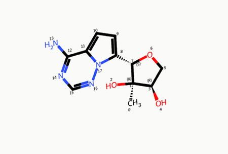 C[C@@]1(O)[C@H](O)CO[C@H]1c1ccc2c(N)ncnn12